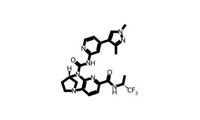 Cc1nn(C)cc1-c1ccnc(NC(=O)N2c3nc(C(=O)N[C@H](C)C(F)(F)F)ccc3N3CC[C@H]2C3)c1